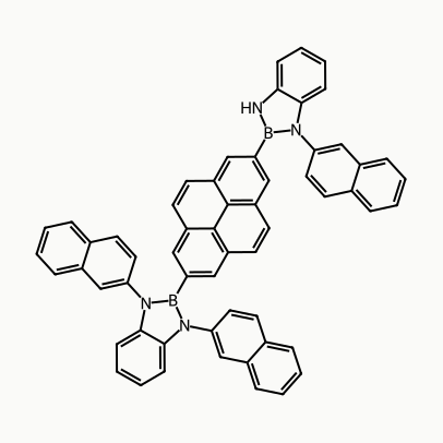 c1ccc2c(c1)NB(c1cc3ccc4cc(B5N(c6ccc7ccccc7c6)c6ccccc6N5c5ccc6ccccc6c5)cc5ccc(c1)c3c45)N2c1ccc2ccccc2c1